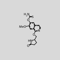 COc1cc2c(OCC3CCC(=O)N3)nccc2cc1OC(N)=S